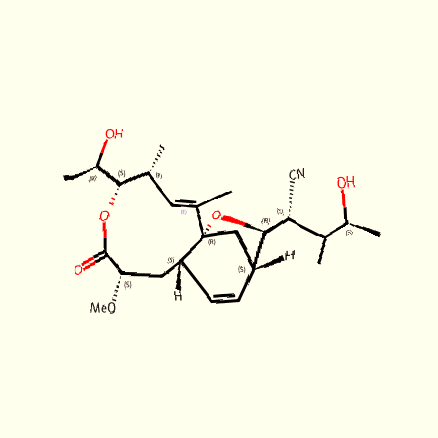 CO[C@H]1C[C@H]2C=C[C@@H]3C[C@]2(O[C@H]3[C@H](C#N)C(C)[C@H](C)O)/C(C)=C/[C@@H](C)[C@@H]([C@@H](C)O)OC1=O